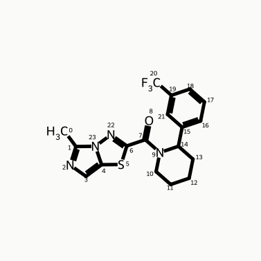 Cc1ncc2sc(C(=O)N3CCCCC3c3cccc(C(F)(F)F)c3)nn12